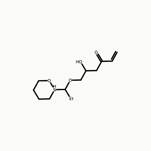 C=CC(=O)CC(O)COC(CC)[SiH]1CCCCO1